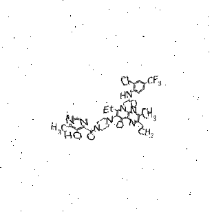 C=Cc1nc2c(=O)c(N3CCN(C(=O)c4ncnc(C)c4O)CC3)c(CC)n(CC(=O)Nc3ccc(C(F)(F)F)cc3Cl)c2nc1C